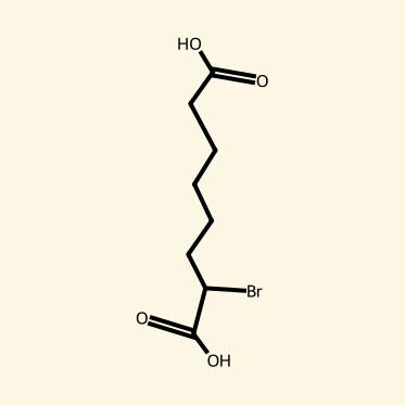 O=C(O)CCCCCC(Br)C(=O)O